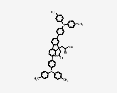 CCCCC(CC)CC1(CC(CC)CCCC)c2cc(-c3ccc(N(c4ccc(C)cc4)c4ccc(C)cc4)cc3)ccc2-c2ccc(-c3ccc(N(c4ccc(C)cc4)c4ccc(C)cc4)cc3)cc21